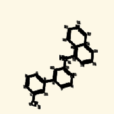 FC(F)(F)c1cccc(-c2ccnc(Nc3cccc4cnccc34)c2)c1